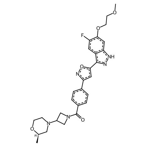 COCCOc1cc2[nH]nc(-c3cc(-c4ccc(C(=O)N5CC(N6CCO[C@H](C)C6)C5)cc4)no3)c2cc1F